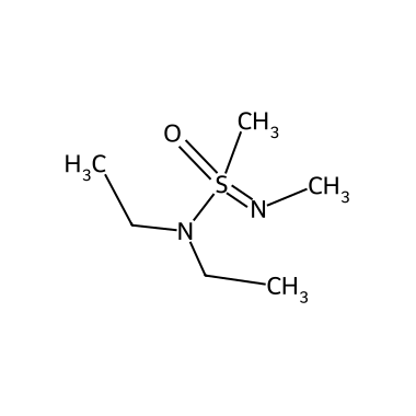 CCN(CC)S(C)(=O)=NC